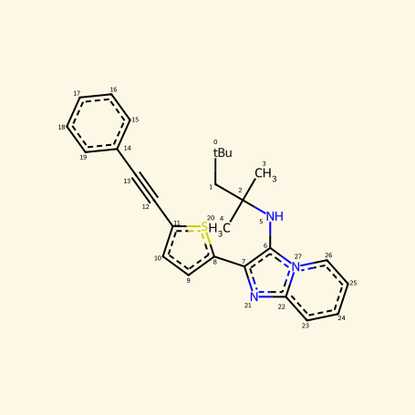 CC(C)(C)CC(C)(C)Nc1c(-c2ccc(C#Cc3ccccc3)s2)nc2ccccn12